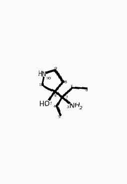 CCC(N)(CC)C1(O)CCNC1